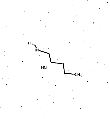 CCCCCNC.Cl